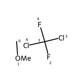 COC.FC(F)(Cl)Cl